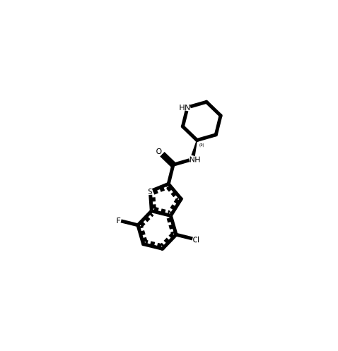 O=C(N[C@@H]1CCCNC1)c1cc2c(Cl)ccc(F)c2s1